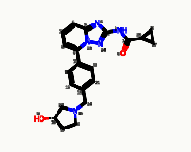 O=C(Nc1nc2cccc(-c3ccc(CN4CC[C@H](O)C4)cc3)n2n1)C1CC1